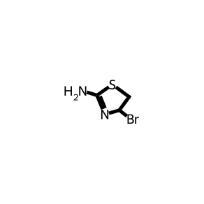 NC1=NC(Br)CS1